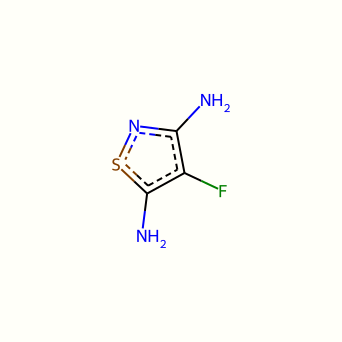 Nc1nsc(N)c1F